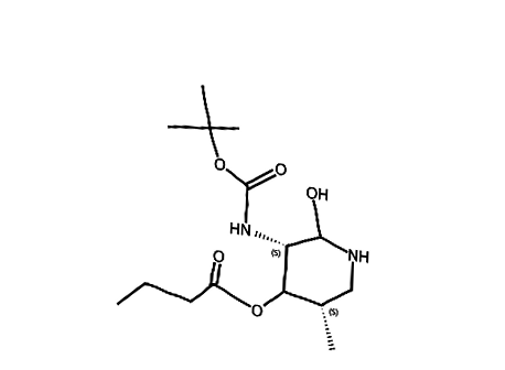 CCCC(=O)OC1[C@H](NC(=O)OC(C)(C)C)C(O)NC[C@@H]1C